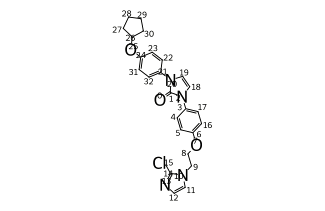 O=c1n(-c2ccc(OCCn3ccnc3Cl)cc2)ccn1-c1ccc(OC2CCCC2)cc1